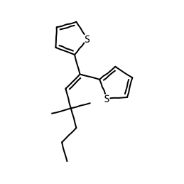 CCCC(C)(C)C=C(c1cccs1)c1cccs1